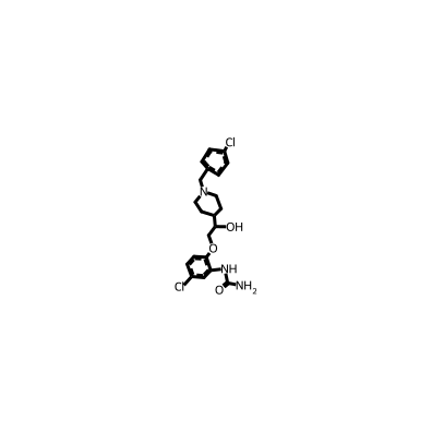 NC(=O)Nc1cc(Cl)ccc1OCC(O)C1CCN(Cc2ccc(Cl)cc2)CC1